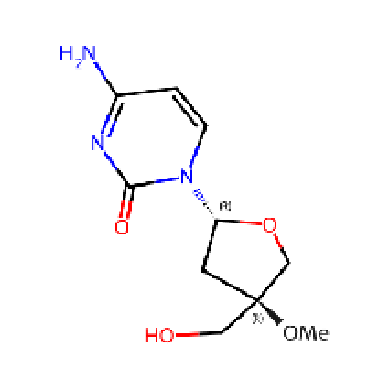 CO[C@]1(CO)CO[C@@H](n2ccc(N)nc2=O)C1